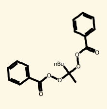 CCCCC(C)(OOC(=O)c1ccccc1)OOC(=O)c1ccccc1